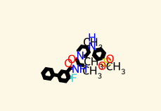 CC(C)C(NC(=O)c1cc(-c2ccccc2)ccc1F)C(=O)N1CCC(C)(Nc2ccc(S(C)(=O)=O)cc2)CC1